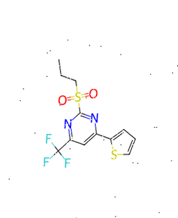 CCCS(=O)(=O)c1nc(-c2cccs2)cc(C(F)(F)F)n1